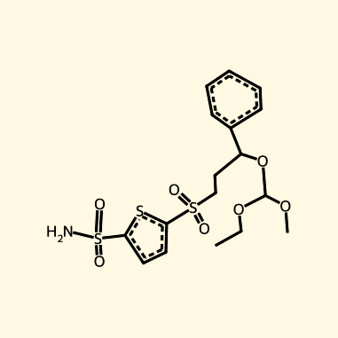 CCOC(OC)OC(CCS(=O)(=O)c1ccc(S(N)(=O)=O)s1)c1ccccc1